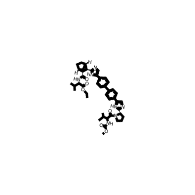 CCOC(=O)[C@@H](NC(=O)[C@@H]1[C@@H]2CC[C@@H](C2)[C@H]1c1ncc(-c2ccc(-c3ccc(-c4cnc([C@@H]5CCCN5C(=O)C(NC(=O)OC)C(C)C)[nH]4)cc3)cc2)[nH]1)C(C)C